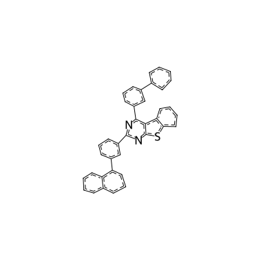 c1ccc(-c2cccc(-c3nc(-c4cccc(-c5cccc6ccccc56)c4)nc4sc5ccccc5c34)c2)cc1